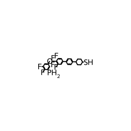 Fc1cc(OC(F)(F)c2c(F)cc(-c3ccc(C4CCC(S)CC4)cc3)cc2F)cc(P)c1F